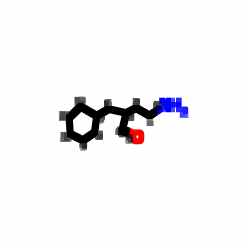 NCCC([C]=O)CC1CCCCC1